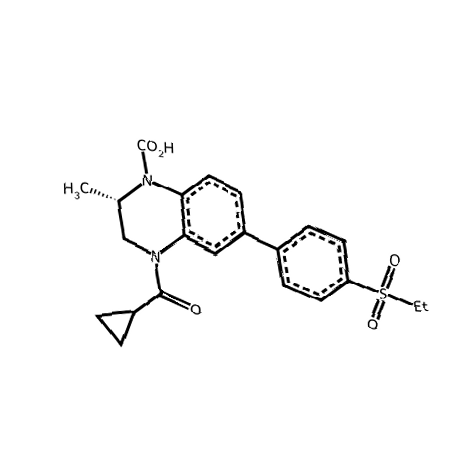 CCS(=O)(=O)c1ccc(-c2ccc3c(c2)N(C(=O)C2CC2)C[C@H](C)N3C(=O)O)cc1